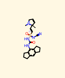 CN1CC=C[C@]1(C)/C=C/S(=O)(=NC#N)NC(=O)Nc1c2c(cc3c1CCC3)CCC2